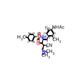 CC(=O)Nc1cc(C)c(/C=C(\NS(=O)(=O)c2ccc(C)cc2)C(=O)C(C#N)CN(C)C)cc1F